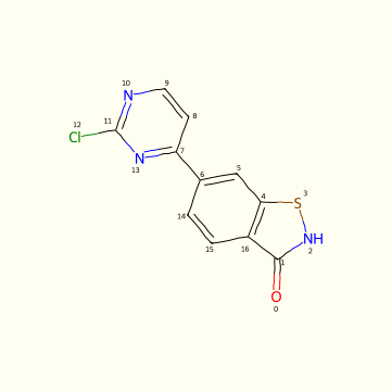 O=c1[nH]sc2cc(-c3ccnc(Cl)n3)ccc12